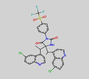 CC(c1ccnc2ccc(Cl)cc12)C1(C(C)c2ccnc3ccc(Cl)cc23)NC(=O)N(c2ccc(S(=O)(=O)C(F)(F)F)cc2)C1=O